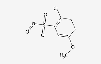 COC1=CC(S(=O)(=O)N=O)=C(Cl)CC1